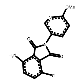 COc1ccc(N2C(=O)c3c(N)ccc(Cl)c3C2=O)cn1